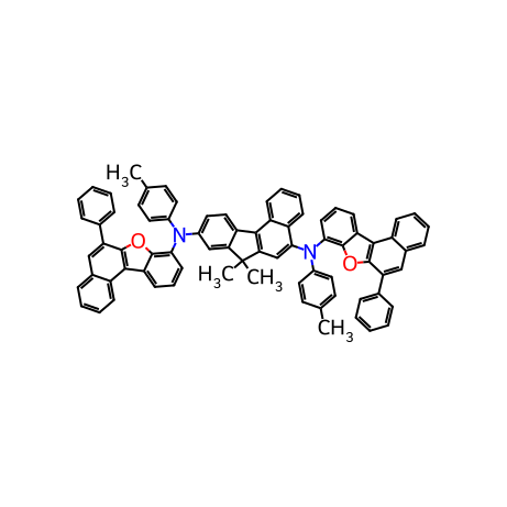 Cc1ccc(N(c2ccc3c(c2)C(C)(C)c2cc(N(c4ccc(C)cc4)c4cccc5c4oc4c(-c6ccccc6)cc6ccccc6c45)c4ccccc4c2-3)c2cccc3c2oc2c(-c4ccccc4)cc4ccccc4c23)cc1